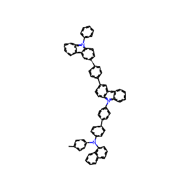 Cc1ccc(N(c2ccc(-c3ccc(-n4c5ccccc5c5cc(-c6ccc(-c7ccc8c(c7)c7ccccc7n8-c7ccccc7)cc6)ccc54)cc3)cc2)c2cccc3ccccc23)cc1